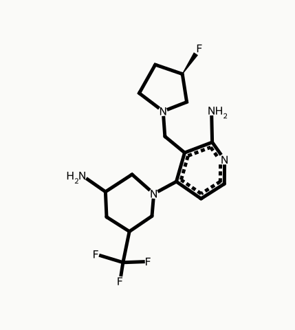 Nc1nccc(N2CC(N)CC(C(F)(F)F)C2)c1CN1CC[C@@H](F)C1